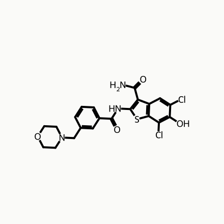 NC(=O)c1c(NC(=O)c2cccc(CN3CCOCC3)c2)sc2c(Cl)c(O)c(Cl)cc12